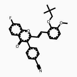 COc1cccc(C=Cc2oc3cc(F)ccc3c(=O)c2-c2ccc(C#N)cc2)c1OCC(C)(C)C